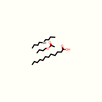 CCCCCCCCCCCC(=O)O.CCCCOC(C)=O.CCC[CH2][Sn][CH2]CCC